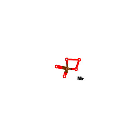 O=S1(=O)OOO1.[Nb]